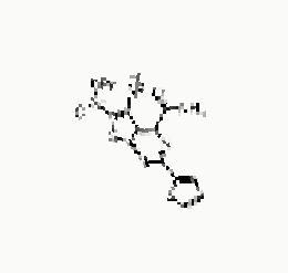 CCC[S+]([O-])c1sc2nc(-c3cccs3)nc(C(N)=O)c2c1N